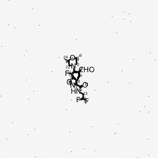 C[C@@H]1CN(c2c(C=O)cc3c(C(=O)NCC(F)F)noc3c2F)C[C@@H](C)O1